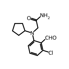 NC(=O)CN(c1cccc(Cl)c1C=O)C1CCCC1